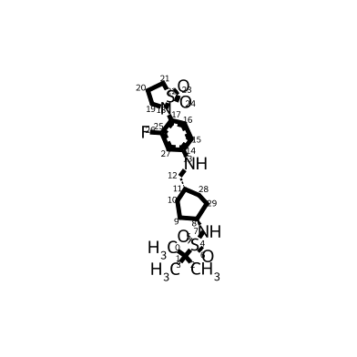 CC(C)(C)S(=O)(=O)N[C@H]1CC[C@H](CNc2ccc(N3CCCS3(=O)=O)c(F)c2)CC1